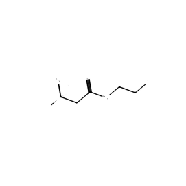 N[C@@H](CC(=O)NCCS)C(=O)O